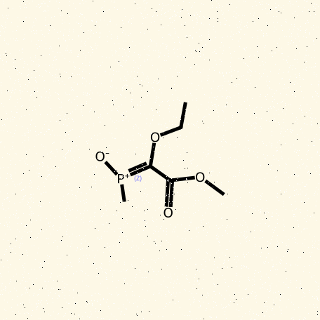 CCO/C(C(=O)OC)=[P+](/C)[O-]